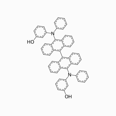 Oc1cccc(N(c2ccccc2)c2c3ccccc3c(-c3c4ccccc4c(N(c4ccccc4)c4cccc(O)c4)c4ccccc34)c3ccccc23)c1